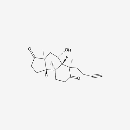 C#CCC[C@@]1(C)C(=O)CC[C@H]2[C@@H]3CCC(=O)[C@@]3(C)C[C@H](O)[C@@]21F